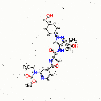 CC(C)(C)OC(=O)N(CC(F)(F)F)c1cc(-c2nc(C(=O)Nc3cn(C4CCC(CO)CC4)nc3C(C)(C)O)co2)ccn1